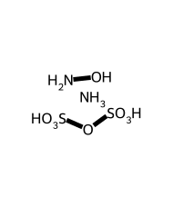 N.NO.O=S(=O)(O)OS(=O)(=O)O